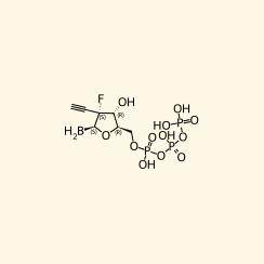 B[C@@H]1O[C@H](COP(=O)(O)OP(=O)(O)OP(=O)(O)O)[C@@H](O)[C@]1(F)C#C